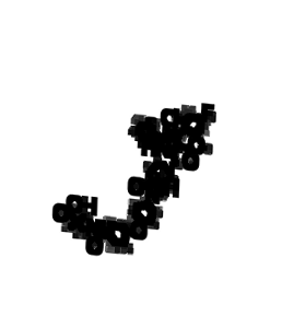 COC(=O)C1=C(CN2CCN3C(=O)N(c4ccc(Oc5ccc(C(=O)NCC(C)(C)C(=O)O)cc5)cc4)C[C@@H]3C2)NC(c2nccs2)=N[C@H]1c1ccc(F)cc1Cl